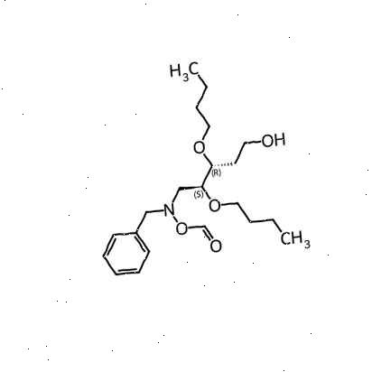 CCCCO[C@@H](CN(Cc1ccccc1)OC=O)[C@@H](CCO)OCCCC